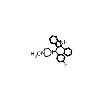 CN1CCN(C(c2ccc(F)cc2)c2c(-c3ccccc3)[nH]c3ccccc23)CC1